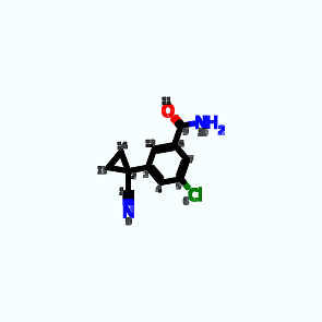 N#CC1(c2cc(Cl)cc(C(N)=O)c2)CC1